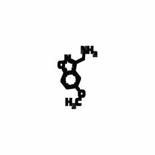 COc1ccc2onc(CN)c2c1